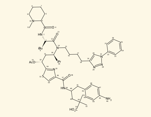 CC[C@H](C)[C@H](NC(=O)C1CCCCN1C)C(=O)N(CCCCc1cn(-c2ccccc2)nn1)[C@H](C[C@@H](OC(C)=O)c1nc(C(=O)NC(Cc2ccc(N)cc2)CC(C)(C)C(=O)O)cs1)C(C)C